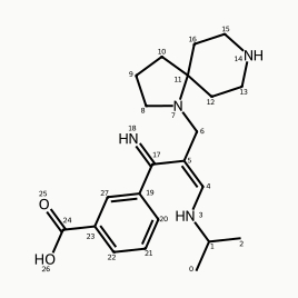 CC(C)N/C=C(/CN1CCCC12CCNCC2)C(=N)c1cccc(C(=O)O)c1